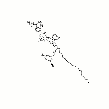 CCCCCCCCCCCCCCCCCC[C@H](COP(=O)(Oc1ccccc1Cl)OC1C23OC(C)(C)O[C@H]2[C@H](c2ccc4c(N)ncnn24)O[C@]13C)OCc1cc(Cl)cc(C#N)c1